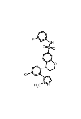 Cn1nccc1-c1cc(Cl)ccc1[C@H]1CCOc2cc(S(=O)(=O)Nc3cccc(F)n3)ccc21